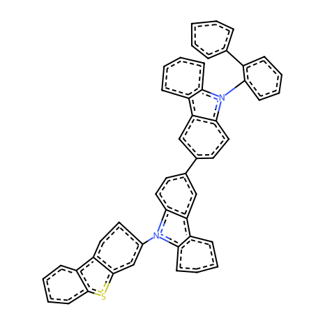 c1ccc(-c2ccccc2-n2c3ccccc3c3cc(-c4ccc5c(c4)c4ccccc4n5-c4ccc5c(c4)sc4ccccc45)ccc32)cc1